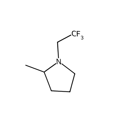 CC1CCCN1CC(F)(F)F